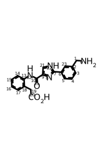 NCc1cccc(-c2nc(C(=O)Nc3ccccc3CC(=O)O)c[nH]2)c1